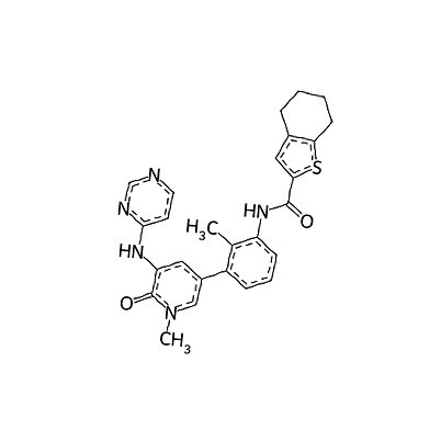 Cc1c(NC(=O)c2cc3c(s2)CCCC3)cccc1-c1cc(Nc2ccncn2)c(=O)n(C)c1